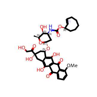 COc1cccc2c1C(=O)c1c(O)c3c(c(O)c1C2=O)C[C@@](O)(C(=O)CO)C[C@@H]3O[C@H]1C[C@H](NC(=O)O[C@H]2/C=C/CCCCC2)[C@H](O)[C@H](C)O1